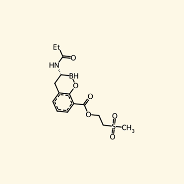 CCC(=O)N[C@@H]1BOc2c(cccc2C(=O)OCCS(C)(=O)=O)C1